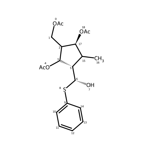 CC(=O)OCC1C(OC(C)=O)[C@@H]([C@H](O)Sc2ccccc2)C(C)[C@@H]1OC(C)=O